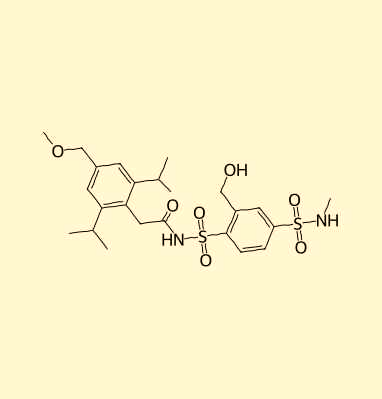 CNS(=O)(=O)c1ccc(S(=O)(=O)NC(=O)Cc2c(C(C)C)cc(COC)cc2C(C)C)c(CO)c1